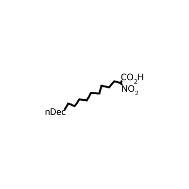 CCCCCCCCCCCCCCCCCCCC(C(=O)O)[N+](=O)[O-]